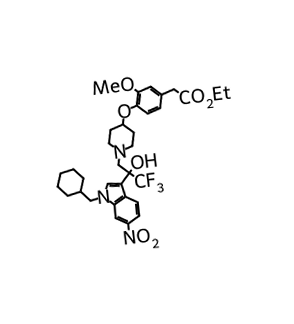 CCOC(=O)Cc1ccc(OC2CCN(CC(O)(c3cn(CC4CCCCC4)c4cc([N+](=O)[O-])ccc34)C(F)(F)F)CC2)c(OC)c1